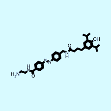 CC(C)c1cc(CCCC(=O)NCc2ccc(/N=N/c3ccc(C(=O)NCCN)cc3)cc2)cc(C(C)C)c1O